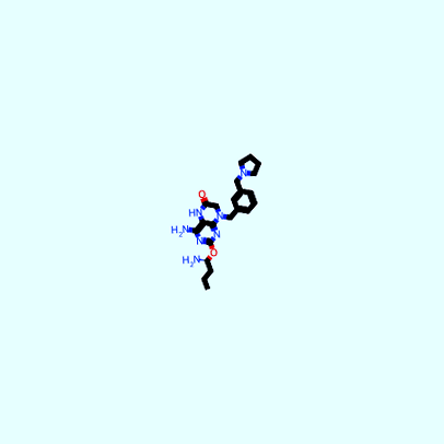 CCC[C@H](N)Oc1nc(N)c2c(n1)N(Cc1cccc(CN3CCCC3)c1)CC(=O)N2